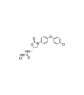 CCNC(=O)NC[C@H]1CN(c2ccc(Oc3ccc(Cl)cc3)cc2)C(=O)O1